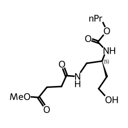 CCCOC(=O)N[C@@H](CCO)CNC(=O)CCC(=O)OC